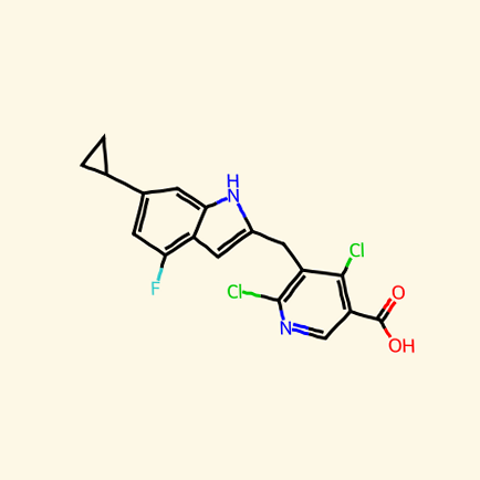 O=C(O)c1cnc(Cl)c(Cc2cc3c(F)cc(C4CC4)cc3[nH]2)c1Cl